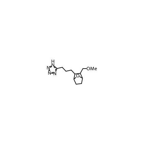 COCC1C2CCC(O2)C1CCCc1nnn[nH]1